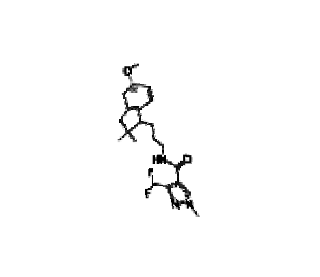 CO[C@@H]1C=CC2=C(C1)CC(C)(C)C2CCCNC(=O)c1cn(C)nc1C(F)F